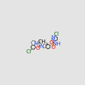 CC(C(=O)N1Cc2ccc(S(=O)(=O)Nc3ccc(Cl)nn3)cc2C1)N1CCCc2cc(Cl)ccc21